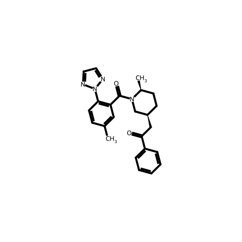 Cc1ccc(-n2nccn2)c(C(=O)N2C[C@H](CC(=O)c3ccccc3)CC[C@@H]2C)c1